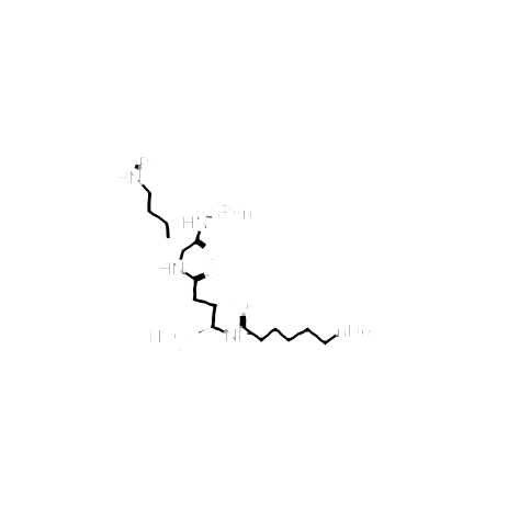 CCCCCCCCCCCCCCCC(=O)N[C@H](CCC(=O)N[C@H](CCCCNC(C)C)C(=O)NCCCCC)C(=O)O